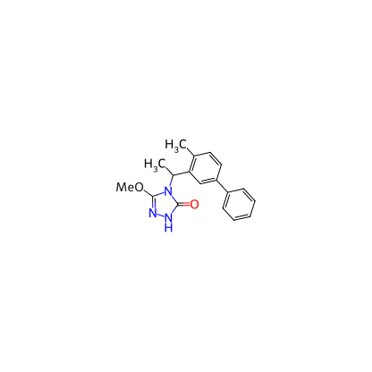 COc1n[nH]c(=O)n1C(C)c1cc(-c2ccccc2)ccc1C